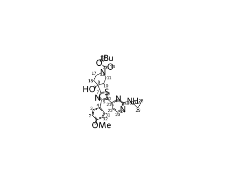 COc1ccc(-c2nc(C3(O)CCN(C(=O)OC(C)(C)C)CC3)sc2-c2ccnc(NC3CC3)n2)cc1